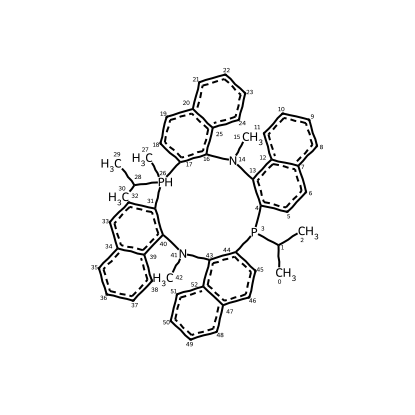 CC(C)P1c2ccc3ccccc3c2N(C)c2c(ccc3ccccc23)[PH](C)(C(C)C)c2ccc3ccccc3c2N(C)c2c1ccc1ccccc21